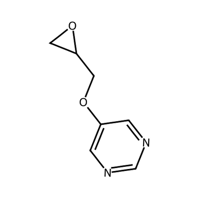 c1ncc(OCC2CO2)cn1